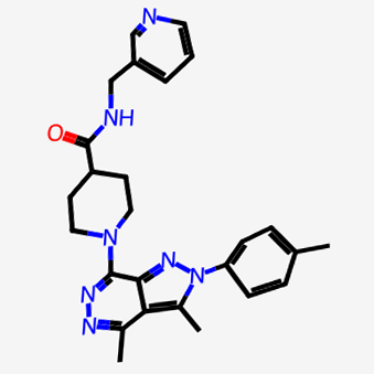 Cc1ccc(-n2nc3c(N4CCC(C(=O)NCc5cccnc5)CC4)nnc(C)c3c2C)cc1